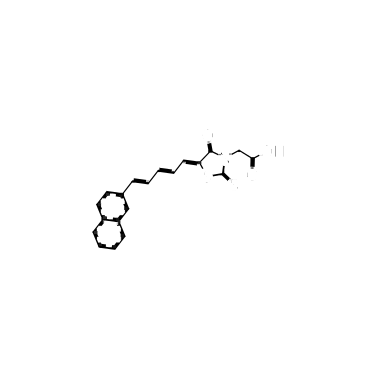 O=C(O)CN1C(=O)C(=CC=CC=Cc2ccc3ccccc3c2)SC1=S